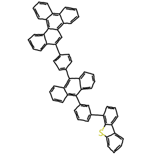 c1cc(-c2c3ccccc3c(-c3ccc(-c4cc5c6ccccc6c6ccccc6c5c5ccccc45)cc3)c3ccccc23)cc(-c2cccc3c2sc2ccccc23)c1